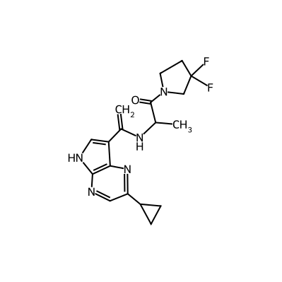 C=C(NC(C)C(=O)N1CCC(F)(F)C1)c1c[nH]c2ncc(C3CC3)nc12